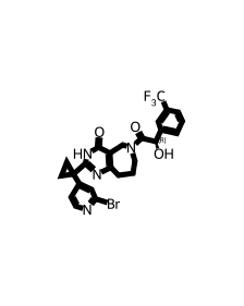 O=C([C@H](O)c1cccc(C(F)(F)F)c1)N1CCCc2nc(C3(c4ccnc(Br)c4)CC3)[nH]c(=O)c2C1